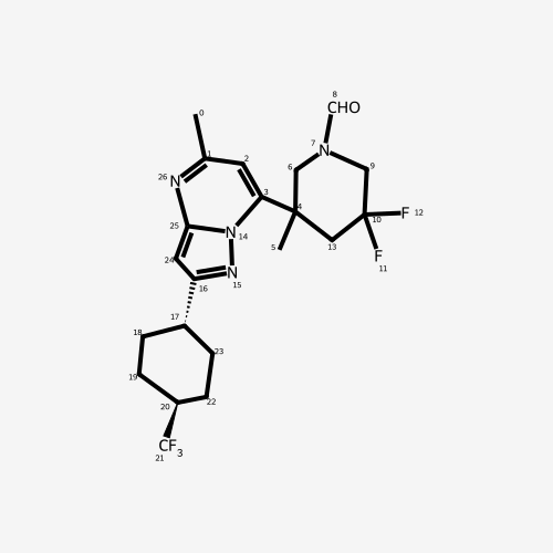 Cc1cc(C2(C)CN(C=O)CC(F)(F)C2)n2nc([C@H]3CC[C@H](C(F)(F)F)CC3)cc2n1